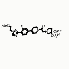 COCCn1cnc(-c2ccc(C3=CCN(C(=O)CN4CC[C@@](OC)(C(=O)O)C4)CC3)cc2F)n1